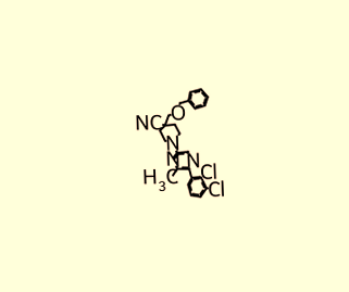 Cc1nc(N2CCC(C#N)(COCc3ccccc3)CC2)cnc1-c1cccc(Cl)c1Cl